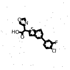 O=C(O)C(c1cocn1)c1cc2cc(-c3ccc(Cl)c(F)c3)ccc2s1